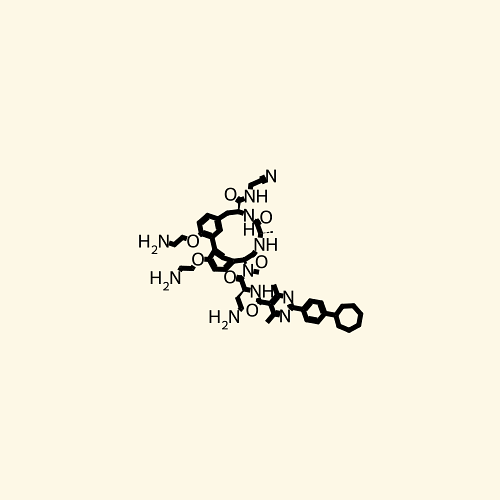 Cc1nc(-c2ccc(C3CCCCCC3)cc2)nc(C)c1C(=O)N[C@@H](CCN)C(=O)N(C)[C@@H]1C(=O)N[C@@H](C)C(=O)N[C@H](C(=O)NCC#N)Cc2ccc(OCCN)c(c2)-c2cc1ccc2OCCN